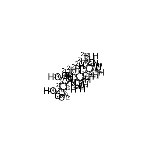 [2H]c1c(-c2c([2H])c(C([2H])([2H])[2H])c(NC(=O)c3cc(C(C)=O)c(C(=O)O)cc3C(=O)O)c(C([2H])([2H])[2H])c2[2H])c([2H])c(C([2H])([2H])[2H])c(NC)c1C([2H])([2H])[2H]